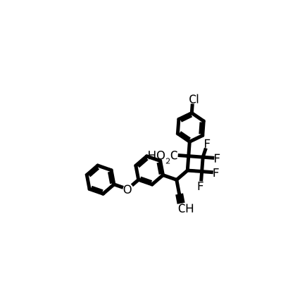 C#CC(c1cccc(Oc2ccccc2)c1)C1C(F)(F)C(F)(F)C1(C(=O)O)c1ccc(Cl)cc1